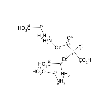 CCC(CC)(C(=O)O)C(=O)ON.NCC(=O)O.NCC(=O)O.NCC(=O)O